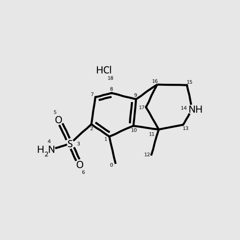 Cc1c(S(N)(=O)=O)ccc2c1C1(C)CNCC2C1.Cl